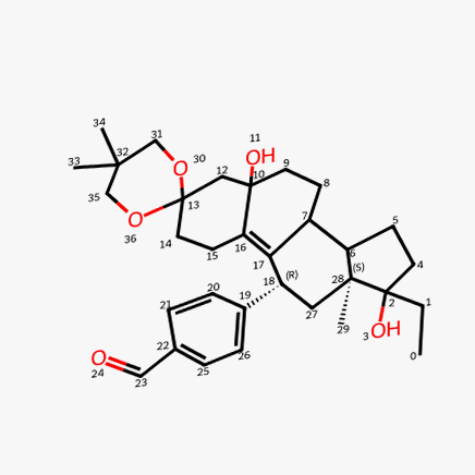 CCC1(O)CCC2C3CCC4(O)CC5(CCC4=C3[C@@H](c3ccc(C=O)cc3)C[C@@]21C)OCC(C)(C)CO5